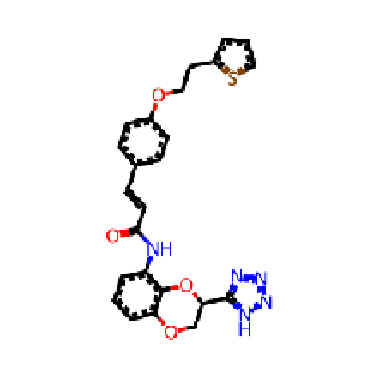 O=C(/C=C/c1ccc(OCCc2cccs2)cc1)Nc1cccc2c1OC(c1nnn[nH]1)CO2